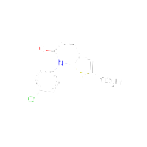 CCOC(=O)C1=CC2C=CC(=O)N(c3ccc(Cl)cc3)C2S1